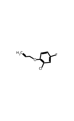 C=CCOc1c[c]c(F)cc1Cl